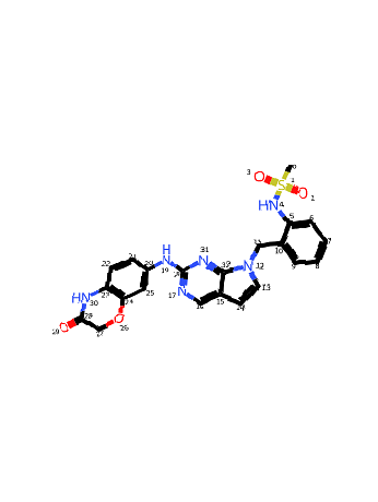 CS(=O)(=O)Nc1ccccc1Cn1ccc2cnc(Nc3ccc4c(c3)OCC(=O)N4)nc21